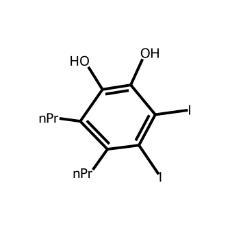 CCCc1c(O)c(O)c(I)c(I)c1CCC